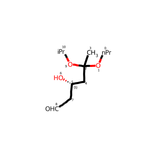 CCCOC(C)(C[C@@H](O)CC=O)OC(C)C